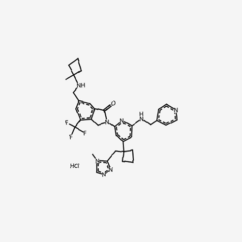 Cl.Cn1cnnc1CC1(c2cc(NCc3ccncc3)nc(N3Cc4c(cc(CNC5(C)CCC5)cc4C(F)(F)F)C3=O)c2)CCC1